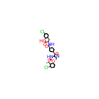 Cc1noc(-c2ccc(C(=O)NC(Cc3ccc(Cl)cc3)C(=O)O)cc2)c1NC(=O)O[C@H](C)c1ccccc1Cl